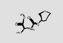 CC(C)(C)OC(=O)C(NC(=O)OC1CCOC1)C(C)(C)C